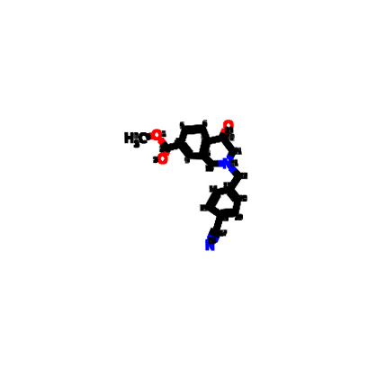 COC(=O)c1ccc2c(c1)CN(Cc1ccc(C#N)cc1)CC2=O